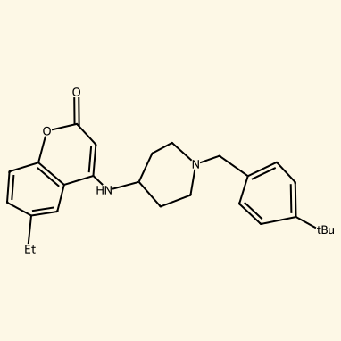 CCc1ccc2oc(=O)cc(NC3CCN(Cc4ccc(C(C)(C)C)cc4)CC3)c2c1